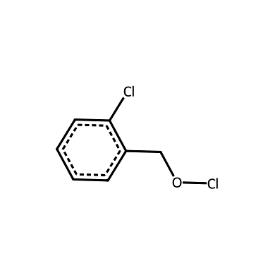 ClOCc1ccccc1Cl